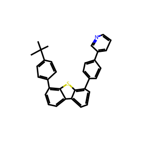 CC(C)(C)c1ccc(-c2cccc3c2sc2c(-c4ccc(-c5cccnc5)cc4)cccc23)cc1